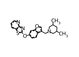 CC1CC(C)CN(Cc2coc3cc(Oc4nc5ncccc5s4)ccc23)C1